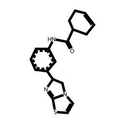 O=C(Nc1cccc(C2CN3C=CSC3=N2)c1)C1CC=CCC1